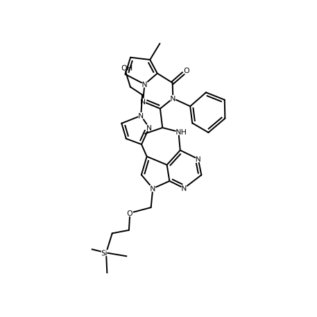 Cc1ccn2nc(C(C)Nc3ncnc4c3c(-c3ccn(CCO)n3)cn4COCC[Si](C)(C)C)n(-c3ccccc3)c(=O)c12